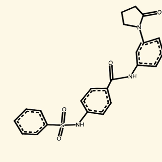 O=C(Nc1cccc(N2CCCC2=O)c1)c1ccc(NS(=O)(=O)c2ccccc2)cc1